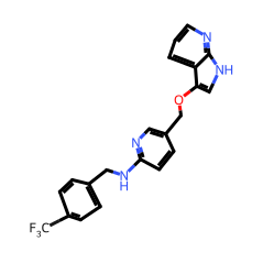 FC(F)(F)c1ccc(CNc2ccc(COc3c[nH]c4ncccc34)cn2)cc1